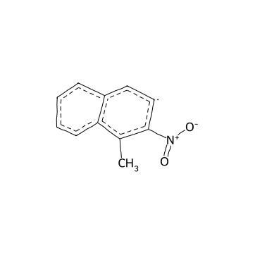 Cc1c([N+](=O)[O-])[c]cc2ccccc12